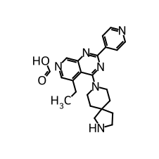 CCc1cncc2nc(-c3ccncc3)nc(N3CCC4(CCNC4)CC3)c12.O=CO